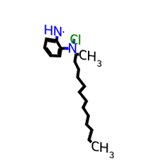 CCCCCCCCCCCCC(C)N(Cl)c1ccccc1[NH]